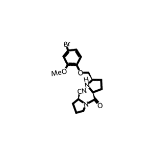 COc1cc(Br)ccc1OC[C@H]1CC[C@@H](C(=O)N2CCC[C@H]2C#N)N1